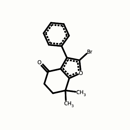 CC1(C)CCC(=O)c2c1oc(Br)c2-c1ccccc1